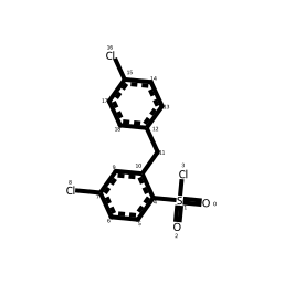 O=S(=O)(Cl)c1ccc(Cl)cc1Cc1ccc(Cl)cc1